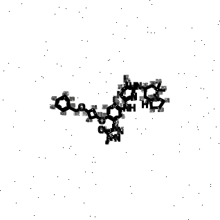 Cn1nnn(-c2cc(Nc3ncc(F)c(N[C@@H]4C[C@@H]5CCCN5C(C)(C)C4)n3)c(F)cc2OC2CC(OCc3ccccc3)C2)c1=O